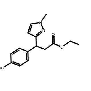 CCOC(=O)CC(c1ccc(O)cc1)c1ccn(C)n1